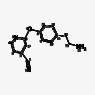 N#Cc1ccnc(Oc2ccc(CCN)cc2)c1